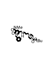 CNC(=O)c1cc(CNCCCN2CCN(C(=O)OC(C)(C)C)CC2)cn(Cc2ccccc2)c1=O